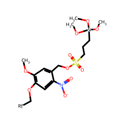 COc1cc(COS(=O)(=O)CCC[Si](OC)(OC)OC)c([N+](=O)[O-])cc1O[CH2][Rf]